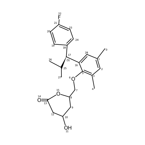 Cc1cc(C)c(OCC2CC(O)CC(=O)O2)c([C@H](c2ccc(F)cc2)C(C)C)c1